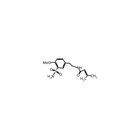 COc1ccc(CCNC(=O)C=C(C)C)cc1S(N)(=O)=O